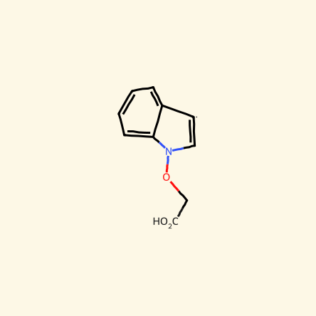 O=C(O)COn1c[c]c2ccccc21